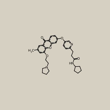 Cc1cc(OCCN2CCCC2)c2oc3cc(Oc4ccc(CCC(=O)NC5CCCC5)nc4)ccc3c(=O)c2c1